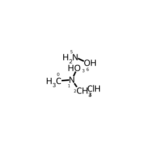 CN(C)O.Cl.NO